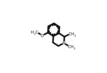 COc1cccc2c1CCN(C)C2C